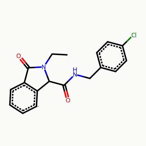 CCN1C(=O)c2ccc[c]c2C1C(=O)NCc1ccc(Cl)cc1